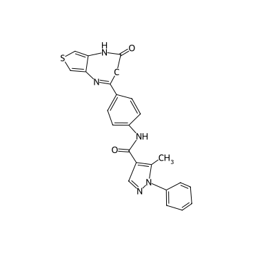 Cc1c(C(=O)Nc2ccc(C3=Nc4cscc4NC(=O)C3)cc2)cnn1-c1ccccc1